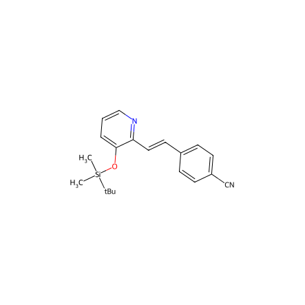 CC(C)(C)[Si](C)(C)Oc1cccnc1C=Cc1ccc(C#N)cc1